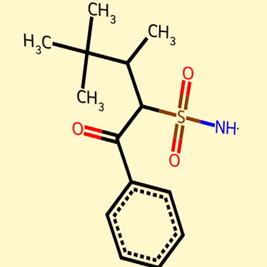 CC(C(C(=O)c1ccccc1)S([NH])(=O)=O)C(C)(C)C